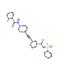 Cc1ccccc1C(=O)Nc1ccc(C#Cc2cncc(C(=O)N=S(C)(=O)c3ccccc3)c2)cc1